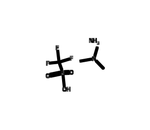 CN(C)C.N.O=S(=O)(O)C(F)(F)F